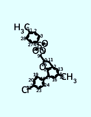 Cc1ccc(S(=O)(=O)OCC2Cc3cc(C)cc(-c4ccc(Cl)cc4)c3O2)cc1